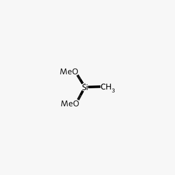 CO[Si](C)OC